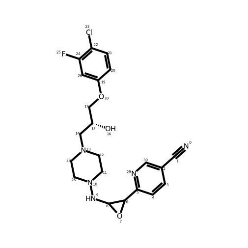 N#Cc1ccc(C2OC2NN2CCN(C[C@@H](O)COc3ccc(Cl)c(F)c3)CC2)nc1